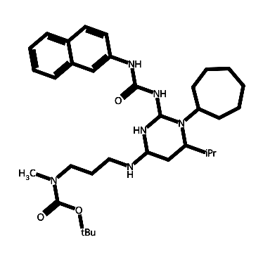 CC(C)C1CC(NCCCN(C)C(=O)OC(C)(C)C)NC(NC(=O)Nc2ccc3ccccc3c2)N1C1CCCCCC1